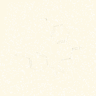 CC(=O)Nc1ccc(C(=O)C(C)OS(=O)(=O)c2ccc(C)cc2)cc1